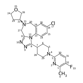 Cc1nc(N2CCC(c3nnc4n3-c3ccc(Cl)cc3CN([C@H]3CCOC3)C4)CC2)ccc1F